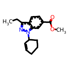 CCc1nn(C2C=CCCC2)c2cc(C(=O)OC)ccc12